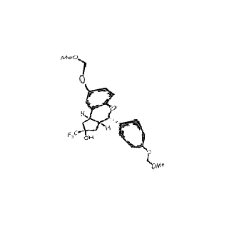 COCOc1ccc([C@H]2Oc3ccc(OCOC)cc3[C@H]3C[C@](O)(C(F)(F)F)C[C@H]32)cc1